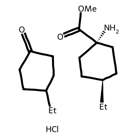 CCC1CCC(=O)CC1.CC[C@H]1CC[C@@](N)(C(=O)OC)CC1.Cl